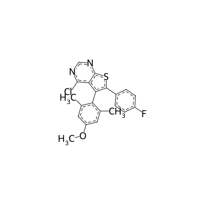 COc1cc(C)c(-c2c(-c3ccc(F)cc3)sc3ncnc(Cl)c23)c(C)c1